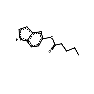 CCCCC(=O)Oc1ccc2[nH]cnc2c1